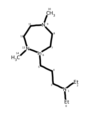 CCN(CC)CC[CH2][In]1[CH2]CN(C)CC[N]1C